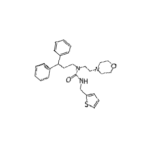 O=C(NCc1cccs1)N(CCC(c1ccccc1)c1ccccc1)CCN1CCOCC1